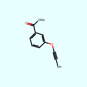 CCCC#COc1cccc(C(=O)OC)c1